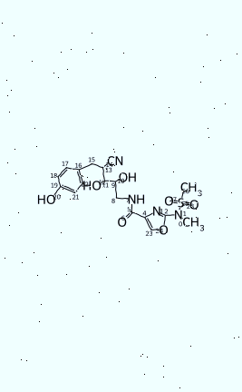 CN(c1nc(C(=O)NCC(O)C(O)C(C#N)Cc2ccc(O)cc2)co1)S(C)(=O)=O